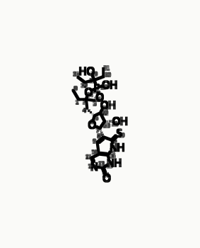 CCC(C)(C[C@H]1O[C@@H](c2cc3cnc(=O)[nH]c3[nH]c2=S)[C@@H](O)C1O)OP(=O)(O)C(O)(CC)CC